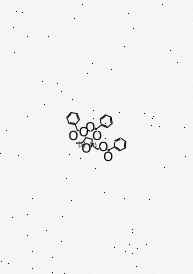 C[C@@H]1O[C@H](COC(=O)c2ccccc2)C(OC(=O)c2ccccc2)C1OC(=O)c1ccccc1